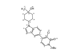 CCCCn1ccc(-c2ccc3c(ccn3C3CCC(C)(O)CC3)c2)c(Cl)c1=O